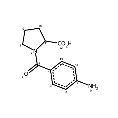 Nc1ccc(C(=O)N2CCCC2C(=O)O)cc1